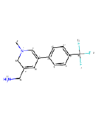 CN1C=C(c2ccc(C(F)(F)F)cc2)C=C(CN)C1